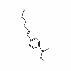 COC(=O)c1ccc(C=CCCCN)cc1